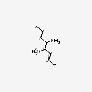 CC=CC(N)C(N)/C=C/C